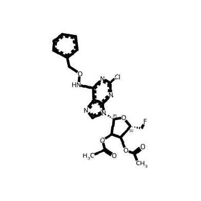 CC(=O)OC1C(OC(C)=O)[C@@H](CF)O[C@H]1n1cnc2c(NOCc3ccccc3)nc(Cl)nc21